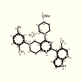 CO[C@@H]1CCN(c2nc(-c3c(C(F)(F)F)cnc4[nH]ccc34)nc3c2CN(c2cc(C(C)C)ccc2C)CC3)[C@H](C)C1